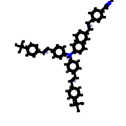 C[Si](C)(C)c1ccc(/C=C/c2ccc(N(c3ccc(/C=C/c4ccc([Si](C)(C)C)cc4)cc3)c3ccc4cc(/C=C/c5ccc(C#N)cc5)ccc4c3)cc2)cc1